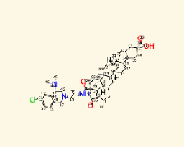 CC(C)C1=C2[C@H]3CC[C@@H]4[C@@]5(C)CC=C(C6=CC[C@@H](C(=O)O)CC6)C(C)(C)[C@H]5CC[C@@]4(C)[C@]3(C)CC[C@@]2(C(=O)NCCN(CCN(C)C)Cc2ccc(Cl)cc2)CC1=O